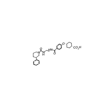 O=C(NCCNC(=O)N1CCCC(c2ccccc2)C1)c1ccc(O[C@H]2CC[C@@H](C(=O)O)CC2)cc1